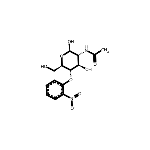 CC(=O)N[C@@H]1[C@@H](O)[C@H](Oc2ccccc2[N+](=O)[O-])[C@@H](CO)O[C@H]1O